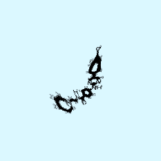 COc1ccc(-c2cnc(Nc3ccc(C(=O)NCCN4CCCCC4)cc3)nc2)cc1